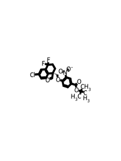 CC(C)(C)OC(=O)c1ccc(OC[C@@]2(C=O)CCC(F)(F)c3cc(Cl)ccc32)c([N+](=O)[O-])c1